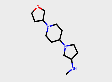 CNC1CCN(C2CCN(C3CCOC3)CC2)C1